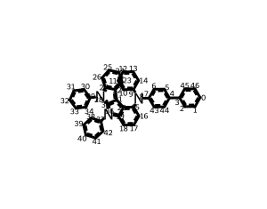 c1ccc(-c2ccc(N(c3ccccc3)c3cccc4c3c3c5ccccc5n(-c5ccccc5)c3n4-c3ccccc3)cc2)cc1